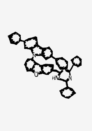 c1ccc(C2=NC(c3ccc4c(c3)oc3cccc(-n5c6cc(-c7ccccc7)ccc6c6ccc(-c7ccccc7)cc65)c34)NC(c3ccccc3)=N2)cc1